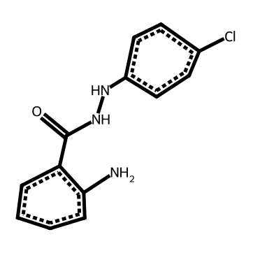 Nc1ccccc1C(=O)NNc1ccc(Cl)cc1